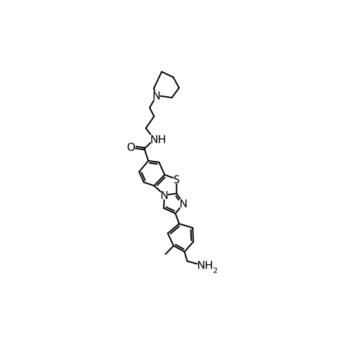 Cc1cc(-c2cn3c(n2)sc2cc(C(=O)NCCCN4CCCCC4)ccc23)ccc1CN